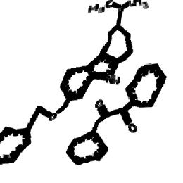 CN(C)C1CCc2[nH]c3cc(OCc4ccccc4)ccc3c2C1.O=C(C(=O)c1ccccc1)c1ccccc1